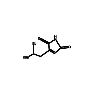 CCCCC(CC)CC1=CC(=O)NC1=O